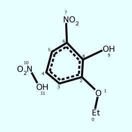 CCOc1cccc([N+](=O)[O-])c1O.O=[N+]([O-])O